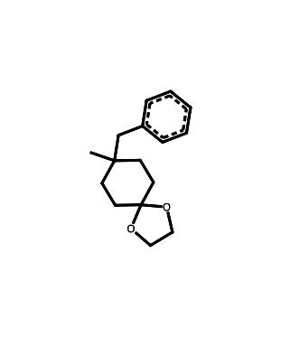 CC1(Cc2ccccc2)CCC2(CC1)OCCO2